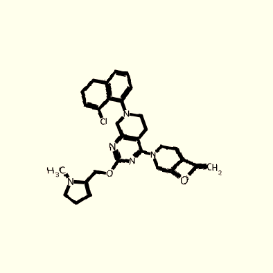 C=C1OC2CN(c3nc(OCC4CCCN4C)nc4c3CCN(c3cccc5c3C(Cl)=CCC5)C4)CCC12